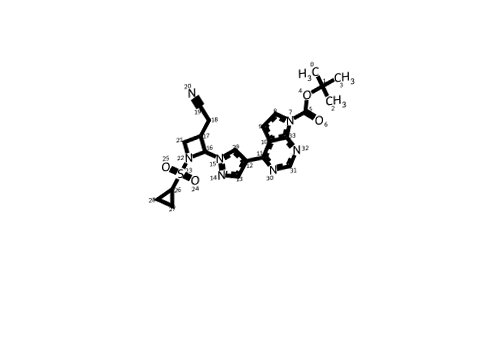 CC(C)(C)OC(=O)n1ccc2c(-c3cnn(C4C(CC#N)CN4S(=O)(=O)C4CC4)c3)ncnc21